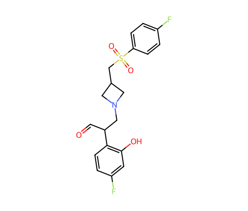 O=CC(CN1CC(CS(=O)(=O)c2ccc(F)cc2)C1)c1ccc(F)cc1O